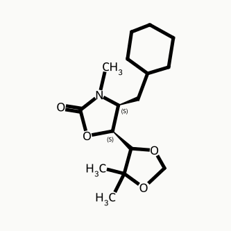 CN1C(=O)O[C@H](C2OCOC2(C)C)[C@@H]1CC1CCCCC1